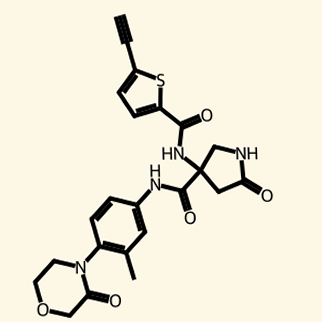 C#Cc1ccc(C(=O)NC2(C(=O)Nc3ccc(N4CCOCC4=O)c(C)c3)CNC(=O)C2)s1